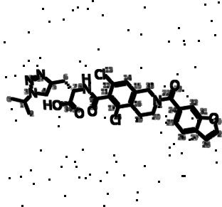 CC(C)N1CC(C[C@H](NC(=O)c2c(Cl)cc3c(c2Cl)CCN(C(=O)c2ccc4ccoc4c2)C3)C(=O)O)N=N1